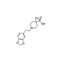 CC1(C(=O)O)CCN(CCc2ccc3c(c2)OCO3)CC1